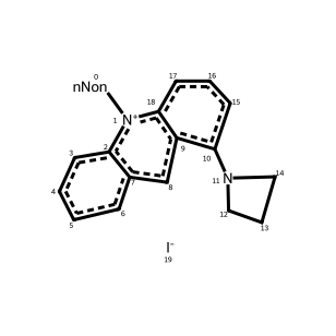 CCCCCCCCC[n+]1c2ccccc2cc2c(N3CCC3)cccc21.[I-]